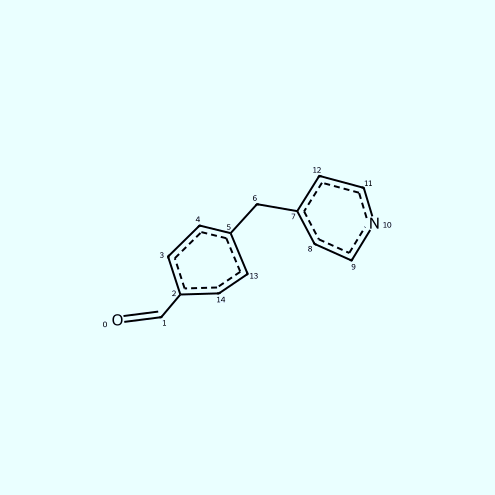 O=Cc1ccc(Cc2ccncc2)cc1